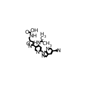 CC(C)Nc1cc(-n2ncc3cc(C#N)cnc32)ncc1C1=NOC(CNC(=O)O)C1